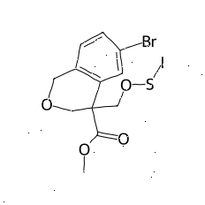 COC(=O)C1(COSI)COCc2ccc(Br)cc21